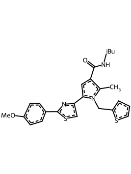 CCC(C)NC(=O)c1cc(-c2csc(-c3ccc(OC)cc3)n2)n(Cc2cccs2)c1C